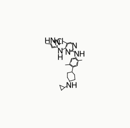 Cc1cc(Nc2nc(Nc3cc(C)c(C4CCC(NC5CC5)CC4)cc3C)ncc2Cl)n[nH]1